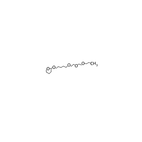 CCCOCCOCCOCCCCCOC1CCCCO1